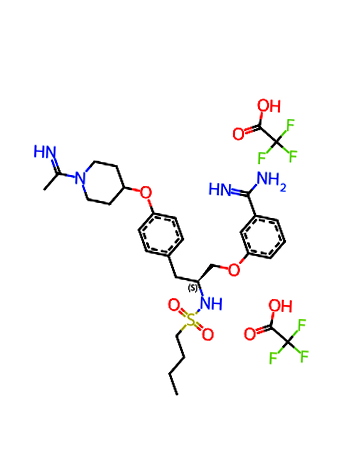 CCCCS(=O)(=O)N[C@H](COc1cccc(C(=N)N)c1)Cc1ccc(OC2CCN(C(C)=N)CC2)cc1.O=C(O)C(F)(F)F.O=C(O)C(F)(F)F